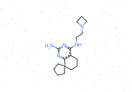 Nc1nc(NCCN2CCC2)c2c(n1)C1(CCCC1)CCC2